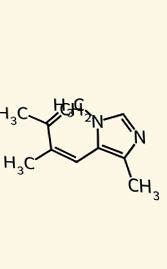 C=C(C)/C(C)=C\c1c(C)ncn1C